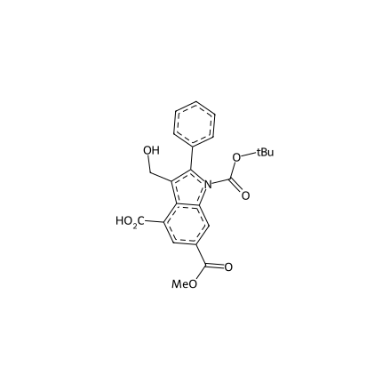 COC(=O)c1cc(C(=O)O)c2c(CO)c(-c3ccccc3)n(C(=O)OC(C)(C)C)c2c1